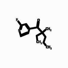 CCCC(C)(CC)C(=O)c1ccnc(F)c1